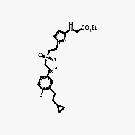 CCOC(=O)CNc1ccn(CCS(=O)(=O)C[C@H](C)c2ccc(F)c(CCC3CC3)c2)n1